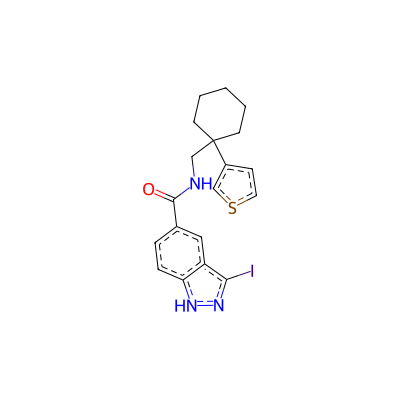 O=C(NCC1(c2ccsc2)CCCCC1)c1ccc2[nH]nc(I)c2c1